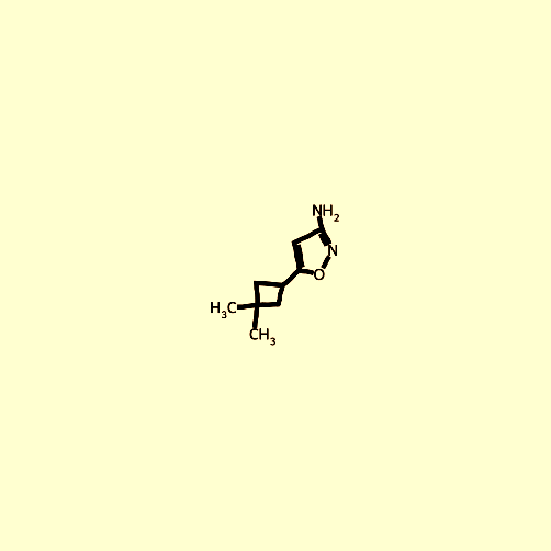 CC1(C)CC(c2cc(N)no2)C1